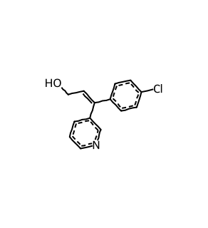 OCC=C(c1ccc(Cl)cc1)c1cccnc1